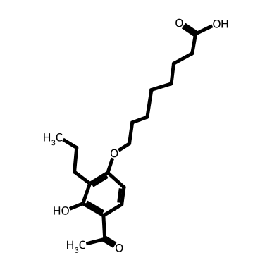 CCCc1c(OCCCCCCCC(=O)O)ccc(C(C)=O)c1O